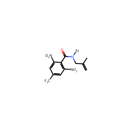 C=C(C)CN(CC)C(=O)c1c([N+](=O)[O-])cc(C(F)(F)F)cc1[N+](=O)[O-]